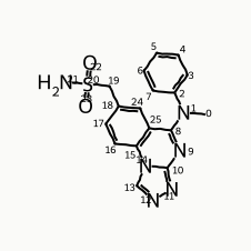 CN(c1ccccc1)c1nc2nncn2c2ccc(CS(N)(=O)=O)cc12